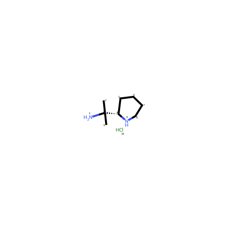 CC(C)(N)[C@@H]1CCCCN1.Cl